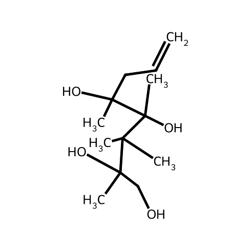 C=CCC(C)(O)C(C)(O)C(C)(C)C(C)(O)CO